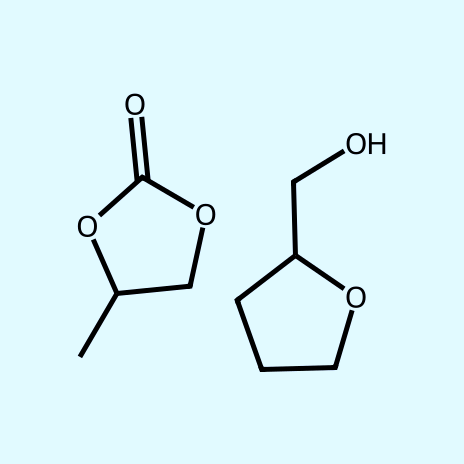 CC1COC(=O)O1.OCC1CCCO1